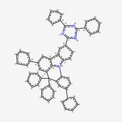 c1ccc(-c2ccc3c(c2)C(c2ccccc2)(c2ccccc2)c2cc(-c4ccccc4)cc4c5cc(-c6nc(-c7ccccc7)nc(-c7ccccc7)n6)ccc5n-3c24)cc1